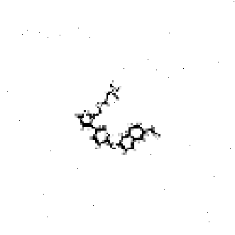 CS(C)(C)CCOCn1nccc1-c1ccc(Oc2ccc3cc(C=O)ccc3c2)nc1